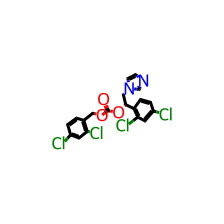 O=C(OCc1ccc(Cl)cc1Cl)OC(Cn1ccnc1)c1ccc(Cl)cc1Cl